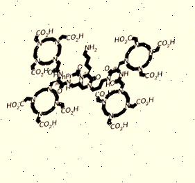 CCCC(=O)N[C@@H](CCCCN)C(=O)N(CCCNC(=O)[C@@H](CN1CCN(CC(=O)O)CCN(CC(=O)O)CCN(CC(=O)O)CC1)NC(=O)CN1CCN(CC(=O)O)CCN(CC(=O)O)CCN(CC(=O)O)CC1)CCCNC(=O)[C@@H](CN1CCN(CC(=O)O)CCN(CC(=O)O)CCN(CC(=O)O)CC1)NC(=O)CN1CCN(CC(=O)O)CCN(CC(=O)O)CCN(CC(=O)O)CC1